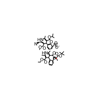 CCOC(=O)C1=C(C)NC(C)=C(C(=O)OCC)C1c1ccccc1/C=C/C(=O)OC(C)(C)C.COC(=O)C1=C(C#N)NC(C)=C(C(=O)OC(C)C)C1c1cccc([N+](=O)[O-])c1